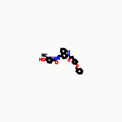 N#Cc1cc(C(=O)N/N=C/c2ccc(NC(=O)Cc3ccc(OCc4ccccc4)cc3)c3ccccc23)ccc1O